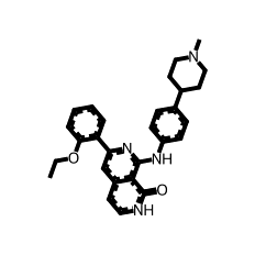 CCOc1ccccc1-c1cc2cc[nH]c(=O)c2c(Nc2ccc(C3CCN(C)CC3)cc2)n1